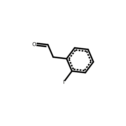 O=CCc1ccccc1I